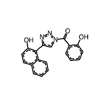 O=C(c1ccccc1O)n1cc(-c2c(O)ccc3ccccc23)nn1